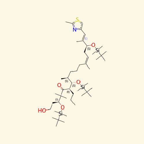 CCC[C@@H](C(=O)C(C)(C)[C@H](CCO)O[Si](C)(C)C(C)(C)C)[C@@H](O[Si](C)(C)C(C)(C)C)[C@@H](C)CCCC(C)=CC[C@H](O[Si](C)(C)C(C)(C)C)/C(C)=C/c1csc(C)n1